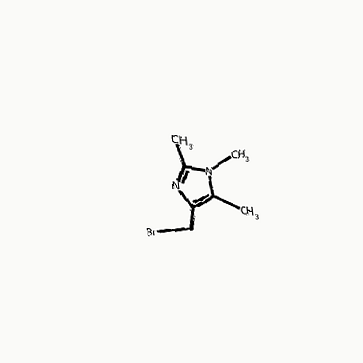 Cc1nc(CBr)c(C)n1C